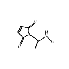 CCNC(C)N1C(=O)C=CC1=O